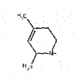 BC1C=C(C)CCN1